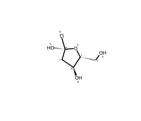 OC[C@H]1O[C@](O)(Cl)C[C@@H]1O